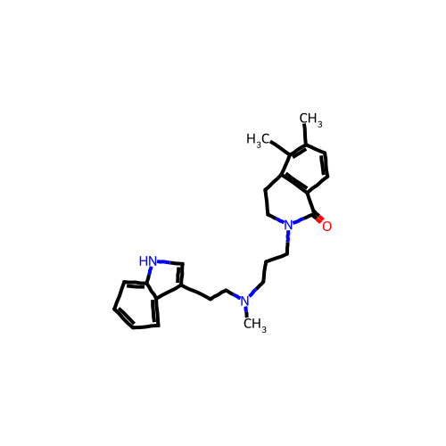 Cc1ccc2c(c1C)CCN(CCCN(C)CCc1c[nH]c3ccccc13)C2=O